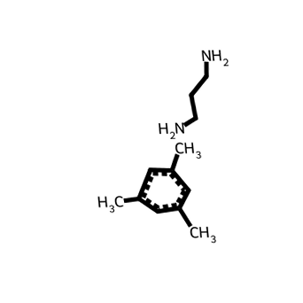 Cc1cc(C)cc(C)c1.NCCCN